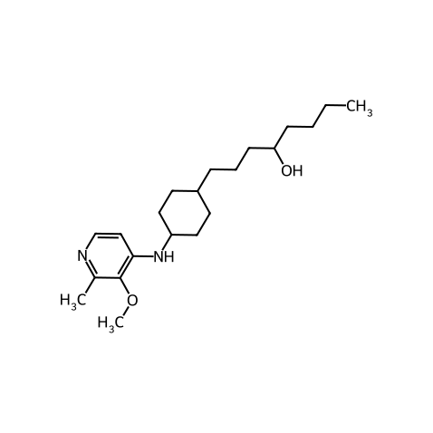 CCCCC(O)CCCC1CCC(Nc2ccnc(C)c2OC)CC1